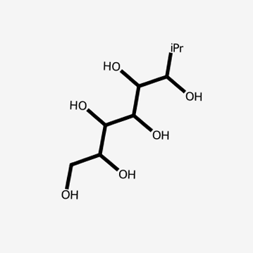 CC(C)C(O)C(O)C(O)C(O)C(O)CO